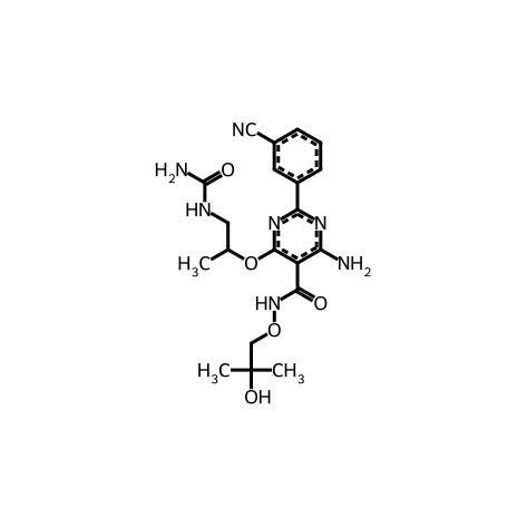 CC(CNC(N)=O)Oc1nc(-c2cccc(C#N)c2)nc(N)c1C(=O)NOCC(C)(C)O